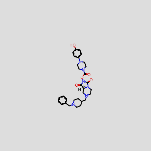 O=C(ON1C(=O)[C@@H]2CN(CC3CCN(Cc4ccccc4)CC3)CCN2C1=O)N1CCN(c2ccc(O)cc2)CC1